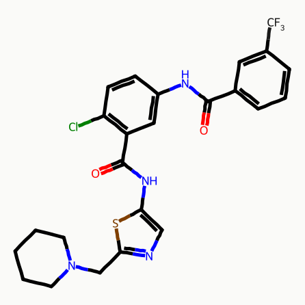 O=C(Nc1ccc(Cl)c(C(=O)Nc2cnc(CN3CCCCC3)s2)c1)c1cccc(C(F)(F)F)c1